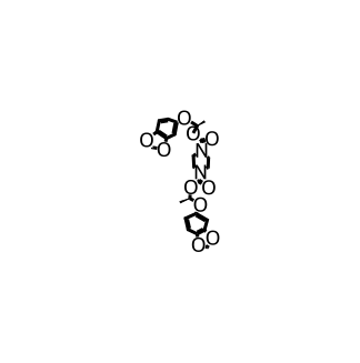 C[C@@H](OC(=O)N1CCN(C(=O)O[C@H](C)Oc2ccc3c(c2)OCO3)CC1)Oc1ccc2c(c1)OCO2